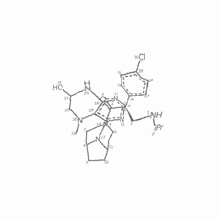 CC(C)NC[C@@H](C(=O)N1CC2CCC(C1)N2c1ncnc2c1N(C)CC(O)N2)c1ccc(Cl)cc1